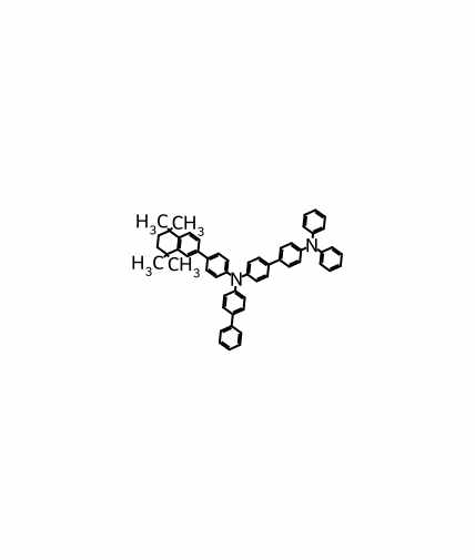 CC1(C)CCC(C)(C)c2cc(-c3ccc(N(c4ccc(-c5ccccc5)cc4)c4ccc(-c5ccc(N(c6ccccc6)c6ccccc6)cc5)cc4)cc3)ccc21